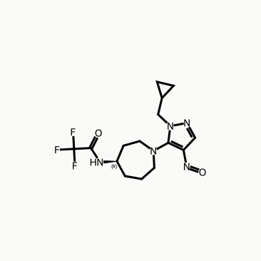 O=Nc1cnn(CC2CC2)c1N1CCC[C@@H](NC(=O)C(F)(F)F)CC1